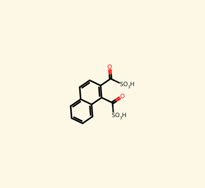 O=C(c1ccc2ccccc2c1C(=O)S(=O)(=O)O)S(=O)(=O)O